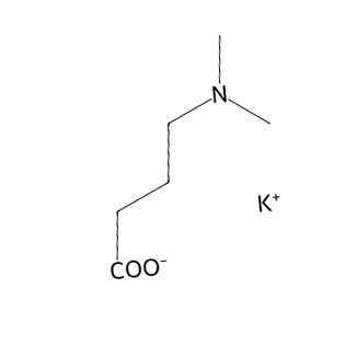 CN(C)CCCC(=O)[O-].[K+]